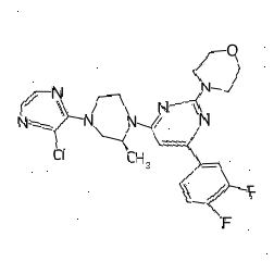 C[C@H]1CN(c2nccnc2Cl)CCN1c1cc(-c2ccc(F)c(F)c2)nc(N2CCOCC2)n1